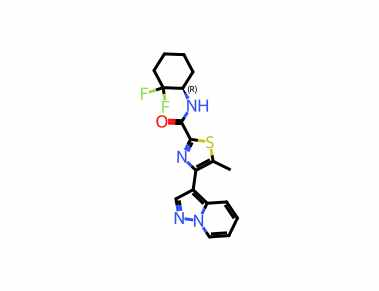 Cc1sc(C(=O)N[C@@H]2CCCCC2(F)F)nc1-c1cnn2ccccc12